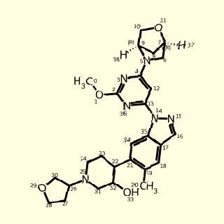 COc1nc(N2C[C@H]3C[C@@H]2CO3)cc(-n2ncc3cc(C)c(C4CCN(C5CCOC5)CC4O)cc32)n1